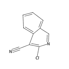 N#Cc1c(Cl)ncc2ccccc12